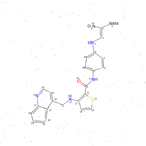 CNC(=CNc1ccc(NC(=O)c2sccc2NCc2ccnc3ccccc23)cc1)[N+](=O)[O-]